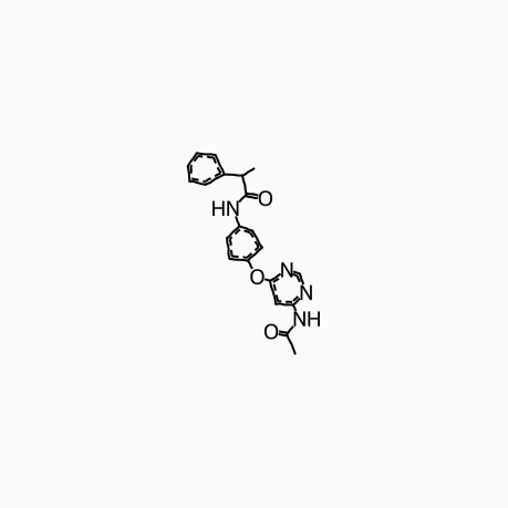 CC(=O)Nc1cc(Oc2ccc(NC(=O)C(C)c3ccccc3)cc2)ncn1